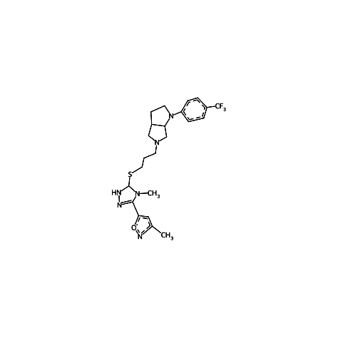 Cc1cc(C2=NNC(SCCCN3CC4CCN(c5ccc(C(F)(F)F)cc5)C4C3)N2C)on1